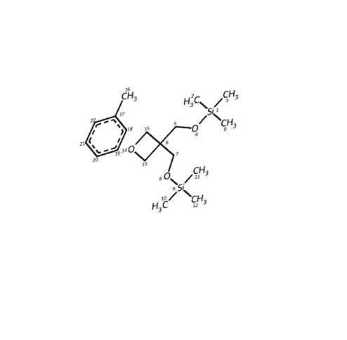 C[Si](C)(C)OCC1(CO[Si](C)(C)C)COC1.Cc1ccccc1